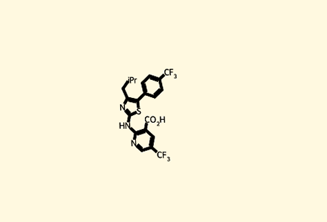 CC(C)Cc1nc(Nc2ncc(C(F)(F)F)cc2C(=O)O)sc1-c1ccc(C(F)(F)F)cc1